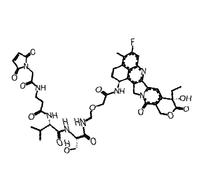 CC[C@@]1(O)C(=O)OCc2c1cc1n(c2=O)Cc2c-1nc1cc(F)c(C)c3c1c2[C@@H](NC(=O)COCNC(=O)[C@H](CO)NC(=O)[C@@H](NC(=O)CCNC(=O)CN1C(=O)C=CC1=O)C(C)C)CC3